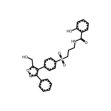 O=C(NCCCS(=O)(=O)c1ccc(-c2c(-c3ccccc3)noc2CO)cc1)c1ccccc1O